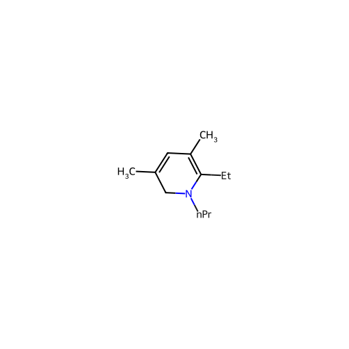 CCCN1CC(C)=CC(C)=C1CC